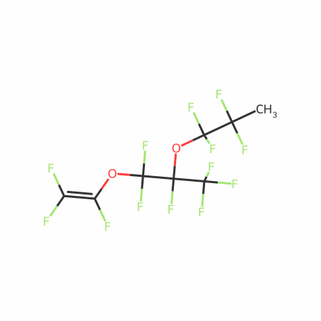 CC(F)(F)C(F)(F)OC(F)(C(F)(F)F)C(F)(F)OC(F)=C(F)F